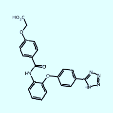 O=C(O)COc1ccc(C(=O)Nc2ccccc2Oc2ccc(-c3nnn[nH]3)cc2)cc1